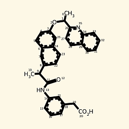 CC(Oc1ccc2cc(C(C)C(=O)Nc3cccc(CC(=O)O)c3)ccc2c1)c1ccc2ccccc2n1